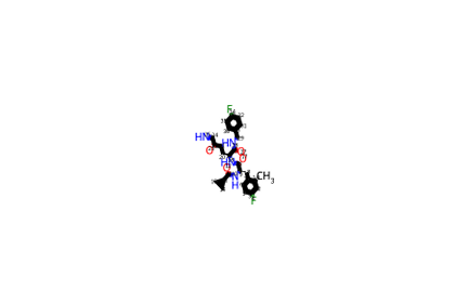 Cc1cc(F)ccc1C[C@H](NC(=O)C1CC1)C(=O)N[C@@H](CCC(=O)C=N)C(=O)NCc1ccc(F)cc1